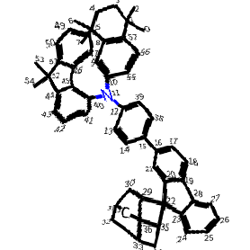 CC1(C)CCC(C)(C)c2cc(N(c3ccc(-c4ccc5c(c4)C4(c6ccccc6-5)C5CC6CC7CC4C75C6)cc3)c3cccc4c3-c3ccccc3C4(C)C)ccc21